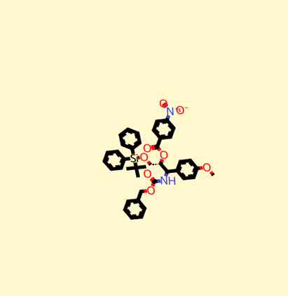 COc1ccc(C(NC(=O)OCc2ccccc2)[C@H](CO[Si](c2ccccc2)(c2ccccc2)C(C)(C)C)OC(=O)c2ccc([N+](=O)[O-])cc2)cc1